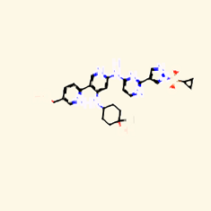 CC1(O)CCC(Nc2cc(Nc3ccnc(-c4cnn(S(=O)(=O)C5CC5)c4)n3)ncc2-c2ccc(CO)cn2)CC1